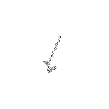 COCCOCCOCCOCCOCCOCCOCCOC(CNC(C)(C)C)COc1nsnc1N1CCOCC1